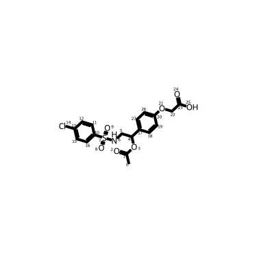 CC(=O)OC(CNS(=O)(=O)c1ccc(Cl)cc1)c1ccc(OCC(=O)O)cc1